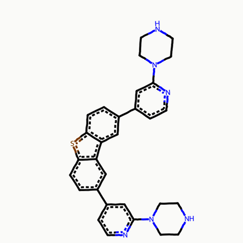 c1cc(-c2ccc3sc4ccc(-c5ccnc(N6CCNCC6)c5)cc4c3c2)cc(N2CCNCC2)n1